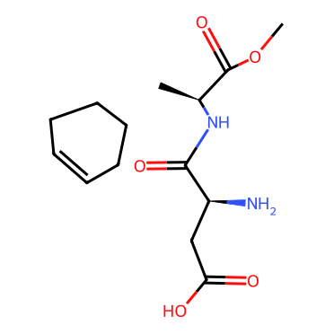 C1=CCCCC1.COC(=O)[C@H](C)NC(=O)[C@@H](N)CC(=O)O